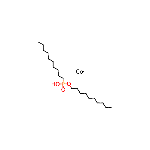 CCCCCCCCCCOP(=O)(O)CCCCCCCCCC.[Co]